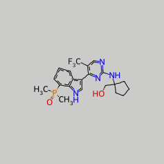 CP(C)(=O)c1cccc2c(-c3nc(NC4(CO)CCCC4)ncc3C(F)(F)F)c[nH]c12